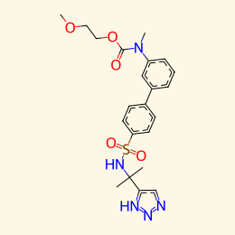 COCCOC(=O)N(C)c1cccc(-c2ccc(S(=O)(=O)NC(C)(C)c3cnn[nH]3)cc2)c1